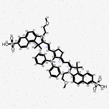 COCCN1/C(=C\C=C2/CCC(/C=C/C3=[N+](CCOC)c4ccc5cc(S(=O)(=O)O)ccc5c4C3(C)C)=C2N(c2ccccc2)c2ccccc2)C(C)(C)c2c1ccc1cc(S(=O)(=O)O)ccc21